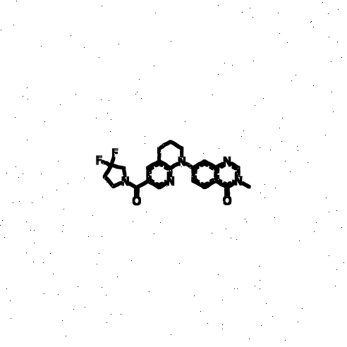 Cn1cnc2cc(N3CCCc4cc(C(=O)N5CCC(F)(F)C5)cnc43)ccc2c1=O